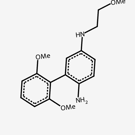 COCCNc1ccc(N)c(-c2c(OC)cccc2OC)c1